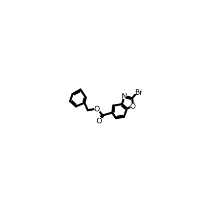 O=C(OCc1ccccc1)c1ccc2oc(Br)nc2c1